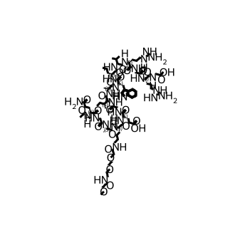 CCC[C@H](NC(=O)[C@H](Cc1c[nH]c2ccccc12)NC(=O)[C@H](C)NC(=O)[C@@H](NC(=O)CNC(=O)[C@H](CCC(=O)O)NC(=O)[C@H](CCCCNC(=O)COCCOCCNC(=O)COC)NC(=O)[C@H](C)NC(=O)CNC(=O)[C@H](CCC(N)=O)NC(C)=O)[C@@H](C)CC)C(=O)NC(C(=O)N[C@@H](CCCNC(=N)N)C(=O)NCC(=O)N[C@@H](CCCNC(=N)N)C(=O)NCC(=O)O)C(C)C